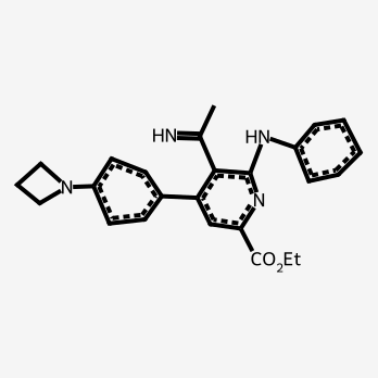 CCOC(=O)c1cc(-c2ccc(N3CCC3)cc2)c(C(C)=N)c(Nc2ccccc2)n1